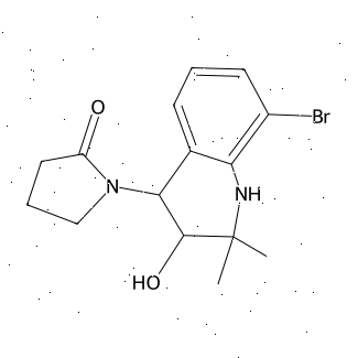 CC1(C)Nc2c(Br)cccc2C(N2CCCC2=O)C1O